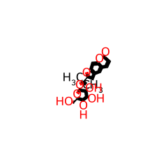 CC(C)(O[C@@H]1O[C@H](CO)[C@@H](O)[C@H](O)[C@H]1O)[C@@H]1Cc2cc3ccc(=O)oc3cc2O1